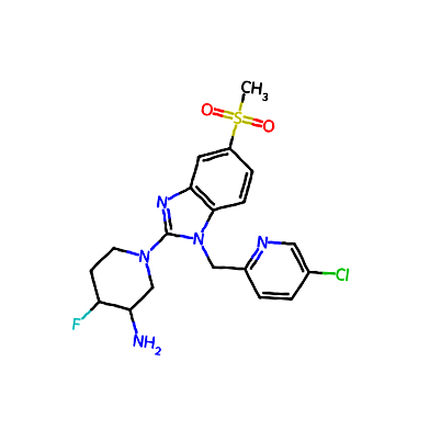 CS(=O)(=O)c1ccc2c(c1)nc(N1CCC(F)C(N)C1)n2Cc1ccc(Cl)cn1